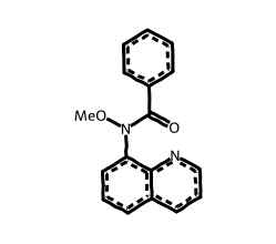 CON(C(=O)c1ccccc1)c1cccc2cccnc12